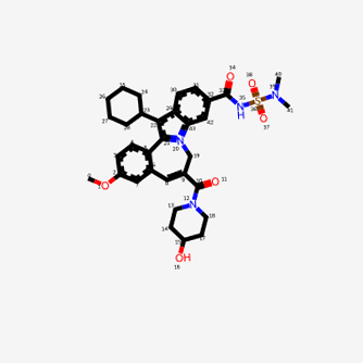 COc1ccc2c(c1)C=C(C(=O)N1CCC(O)CC1)Cn1c-2c(C2CCCCC2)c2ccc(C(=O)NS(=O)(=O)N(C)C)cc21